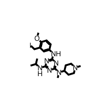 COc1ccc(Nc2nc(NC(C)C)nc(N(C)C3CCN(C)CC3)n2)cc1CI